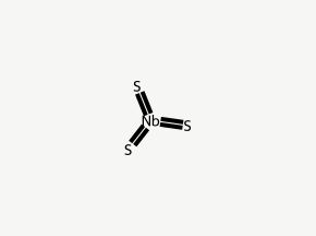 [S]=[Nb](=[S])=[S]